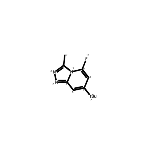 Cc1nnc2cc(C(C)(C)C)cc(F)n12